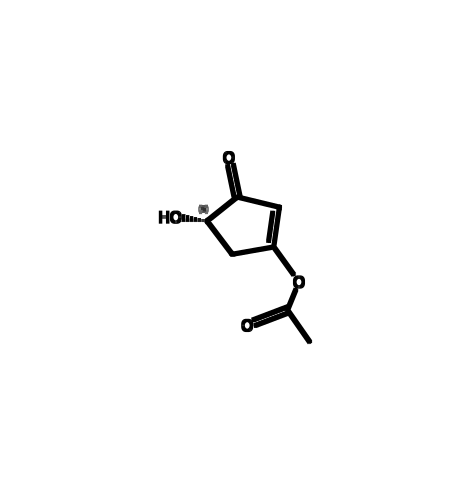 CC(=O)OC1=CC(=O)[C@@H](O)C1